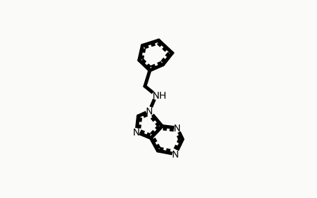 c1ccc(CNn2cnc3cncnc32)cc1